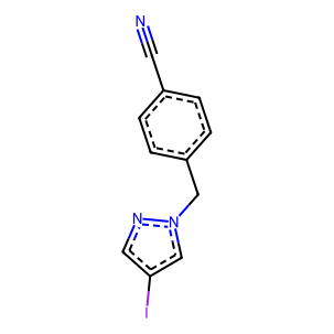 N#Cc1ccc(Cn2cc(I)cn2)cc1